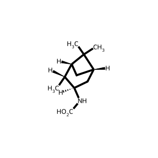 C[C@@H]1[C@H]2C[C@@H](C[C@H]1NC(=O)O)C2(C)C